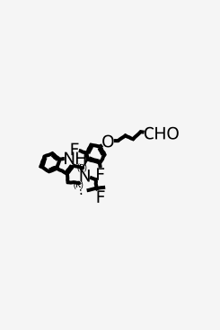 C[C@@H]1Cc2c([nH]c3ccccc23)[C@@H](c2c(F)cc(OCCCCC=O)cc2F)N1CC(C)(C)F